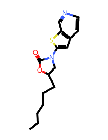 CCCCCCC1CN(c2cc3ccncc3s2)C(=O)O1